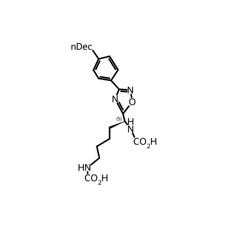 CCCCCCCCCCc1ccc(-c2noc([C@H](CCCCNC(=O)O)NC(=O)O)n2)cc1